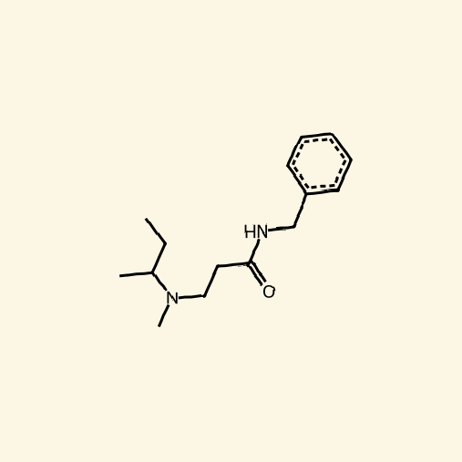 CCC(C)N(C)CCC(=O)NCc1ccccc1